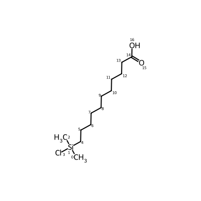 C[Si](C)(Cl)CCCCCCCCCCC(=O)O